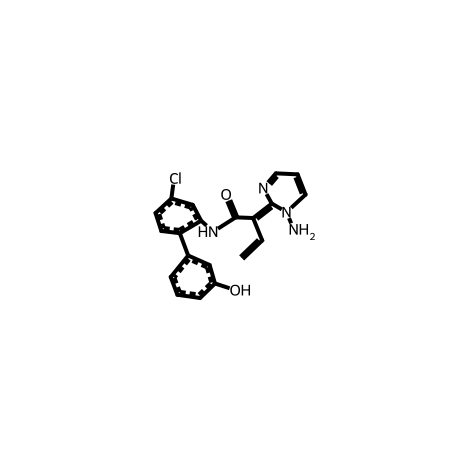 C=C/C(C(=O)Nc1cc(Cl)ccc1-c1cccc(O)c1)=C1/N=CC=CN1N